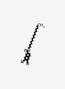 CCCCCCCCCCCCCCCCOC(=O)c1ccc2cc(C#N)c(C#N)cc2c1